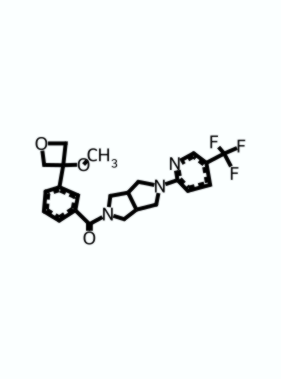 COC1(c2cccc(C(=O)N3CC4CN(c5ccc(C(F)(F)F)cn5)CC4C3)c2)COC1